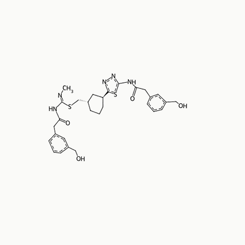 C/N=C(/NC(=O)Cc1cccc(CO)c1)SC[C@H]1CCC[C@H](c2nnc(NC(=O)Cc3cccc(CO)c3)s2)C1